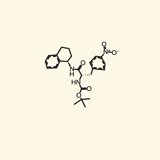 CC(C)(C)OC(=O)N[C@@H](Cc1ccc([N+](=O)[O-])cc1)C(=O)N[C@@H]1CCCc2ccccc21